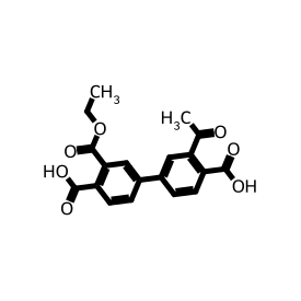 CCOC(=O)c1cc(-c2ccc(C(=O)O)c(C(C)=O)c2)ccc1C(=O)O